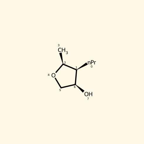 CCC[C@@H]1[C@H](C)OC[C@@H]1O